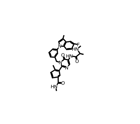 CNC(=O)c1ccc(C)c(-c2ncc(NC(=O)C(C)NC)c(=O)n2Cc2cccc(-n3cc(C)c4cc(F)ccc43)c2)c1